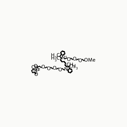 C=C1CCC(=O)N1OC(=O)CCOCCOCCOCCOCCN1/C(=C/C=C\C=C/C2=[N+](CCOCCOCCOCCOC)c3ccccc3C2(C)C)C(C)(C)c2ccccc21